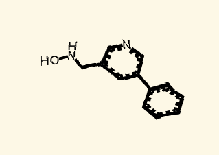 ONCc1cncc(-c2ccccc2)c1